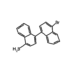 Bc1ccc(-c2ccc(Br)c3ccccc23)c2ccccc12